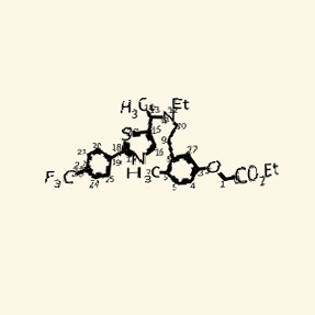 CCOC(=O)COc1ccc(C)c(CCN(CC)C(C)c2cnc(-c3ccc(C(F)(F)F)cc3)s2)c1